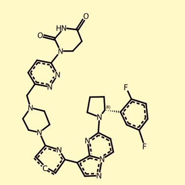 O=C1CCN(c2ccc(CN3CCN(c4cccc(-c5cnn6ccc(N7CCC[C@@H]7c7cc(F)ccc7F)nc56)n4)CC3)nn2)C(=O)N1